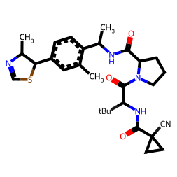 Cc1cc(C2SC=NC2C)ccc1C(C)NC(=O)C1CCCN1C(=O)C(NC(=O)C1(C#N)CC1)C(C)(C)C